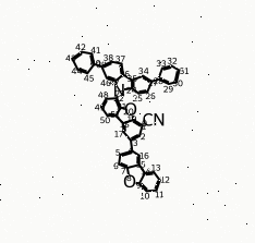 N#Cc1cc(-c2ccc3oc4ccccc4c3c2)cc2c1oc1c(-n3c4ccc(-c5ccccc5)cc4c4ccc(-c5ccccc5)cc43)cccc12